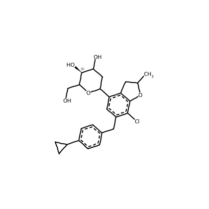 CC1Cc2c(C3CC(O)[C@H](O)C(CO)O3)cc(Cc3ccc(C4CC4)cc3)c(Cl)c2O1